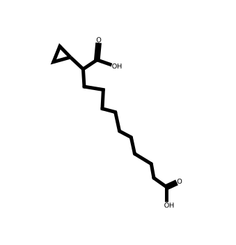 O=C(O)CCCCCCCCCC(C(=O)O)C1CC1